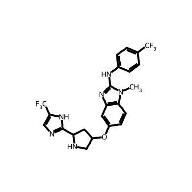 Cn1c(Nc2ccc(C(F)(F)F)cc2)nc2cc(OC3CNC(c4ncc(C(F)(F)F)[nH]4)C3)ccc21